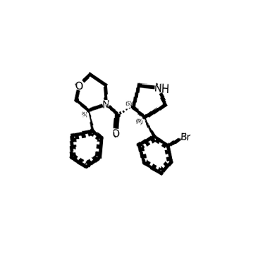 O=C([C@@H]1CNC[C@H]1c1ccccc1Br)N1CCOC[C@@H]1c1ccccc1